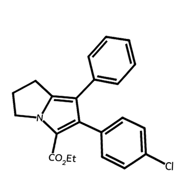 CCOC(=O)c1c(-c2ccc(Cl)cc2)c(-c2ccccc2)c2n1CCC2